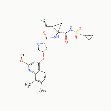 C=CC1C[C@]1(NC(=O)[C@@H]1C[C@@H](Oc2cc(OCC)nc3c(C)c(OC)ccc23)CN1)C(=O)NS(=O)(=O)C1CC1